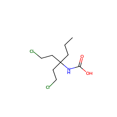 CCCC(CCCl)(CCCl)NC(=O)O